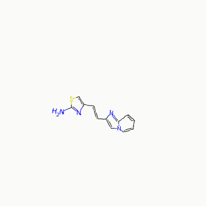 Nc1nc(C=Cc2cn3ccccc3n2)cs1